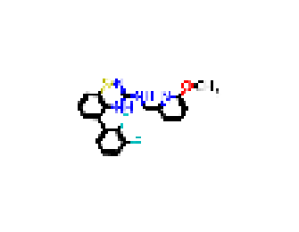 COc1cccc(CNC2=NSc3cccc(-c4cccc(F)c4F)c3N2)n1